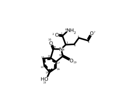 NC(=O)C(CCC=O)N1C(=O)c2ccc(O)cc2C1=O